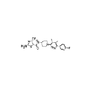 Cc1c(-c2ccc(F)cc2)nnc(N2CCC(N(C)C(=O)C3SC(N)=NC3C(F)(F)F)CC2)c1C